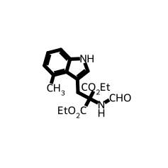 CCOC(=O)C(Cc1c[nH]c2cccc(C)c12)(NC=O)C(=O)OCC